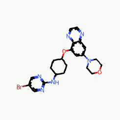 Brc1cnc(NC2CCC(Oc3cc(N4CCOCC4)cc4nccnc34)CC2)nc1